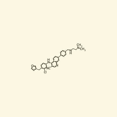 CN(C)CCNCc1ccc(-c2ccc3c(Nc4ccc(Cc5ccoc5)c(Cl)c4)c(C#N)cnc3c2)cc1